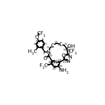 Cc1cc(OC(F)(F)F)ccc1CN1CCCCC[C@](O)(C(F)(F)F)c2nnc(o2)-c2nc(c(C(F)(F)F)cc2N)C1=O